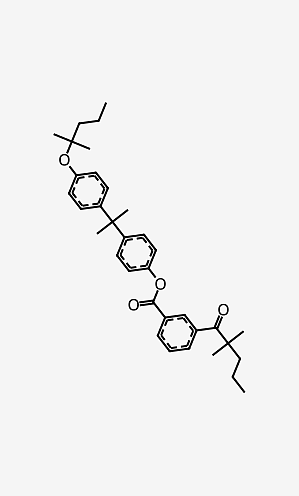 CCCC(C)(C)Oc1ccc(C(C)(C)c2ccc(OC(=O)c3cccc(C(=O)C(C)(C)CCC)c3)cc2)cc1